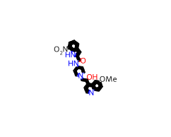 COc1ccc2nccc([C@@H](O)CN3CCC(NC(=O)c4cc5cccc([N+](=O)[O-])c5[nH]4)CC3)c2c1